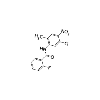 Cc1cc([N+](=O)[O-])c(Cl)cc1NC(=O)c1ccccc1F